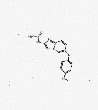 COC(=O)Nc1cn2cc(Oc3ccc([N+](=O)[O-])cc3)ccc2n1